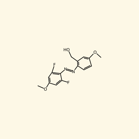 COc1cc(F)c(N=Nc2ccc(OC)cc2CO)c(F)c1